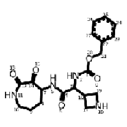 O=C(NC(C(=O)NC1CCCNC(=O)C1=O)C1CNC1)OCc1ccccc1